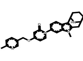 Cc1ccc(COc2ccn(-c3ccc4c5c(n(C)c4c3)CC3CCCC5N3)c(=O)c2)cn1